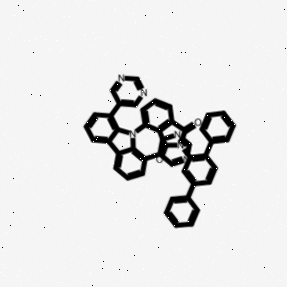 O=C1c2cccc(-n3c4c(-c5cncnc5)cccc4c4cccc(-c5cncnc5)c43)c2C(=O)N1c1cc(-c2ccccc2)ccc1-c1ccccc1